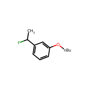 CCCCOc1cccc([C](C)F)c1